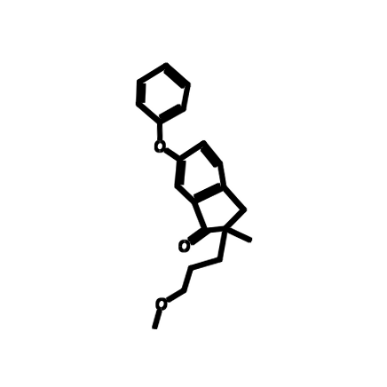 COCCCC1(C)Cc2ccc(Oc3ccccc3)cc2C1=O